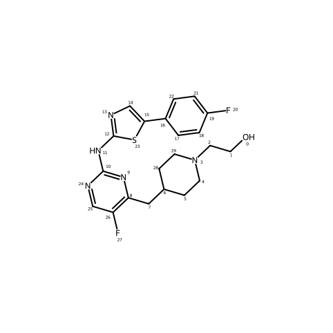 OCCN1CCC(Cc2nc(Nc3ncc(-c4ccc(F)cc4)s3)ncc2F)CC1